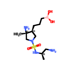 C[C@H](CN)NS(=O)(=O)N1C[C@H](CCCB(O)O)[C@](N)(C(=O)O)C1